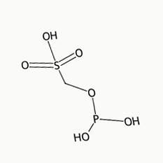 O=S(=O)(O)COP(O)O